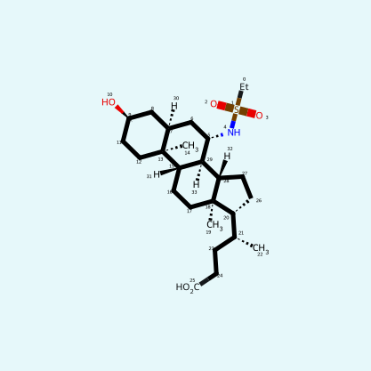 CCS(=O)(=O)N[C@H]1C[C@@H]2C[C@H](O)CC[C@]2(C)[C@H]2CC[C@]3(C)[C@@H]([C@H](C)CCC(=O)O)CC[C@H]3[C@H]12